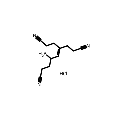 Cl.N#CCCC(=CC(P)CCC#N)CCC#N